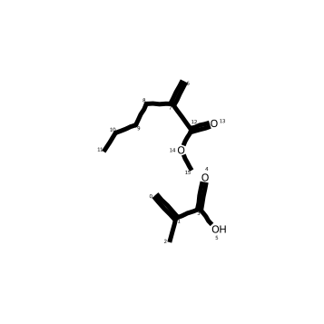 C=C(C)C(=O)O.C=C(CCCC)C(=O)OC